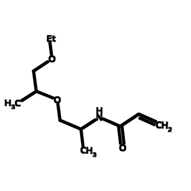 C=CC(=O)NC(C)COC(C)COCC